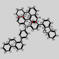 c1ccc(N(c2ccc(-c3cccc4c3ccc3ccccc34)cc2)c2ccc(-c3cccc4c3oc3ccccc34)cc2)c(-c2cccc3cccc(C4CCCCC4)c23)c1